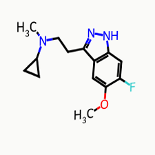 COc1cc2c(CCN(C)C3CC3)n[nH]c2cc1F